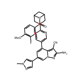 COc1ccc(C(=O)N2C3CC2CN(c2ccc(-c4cc(-c5cnn(C)c5)cn5nc(N)c(C#N)c45)cn2)C3)cc1F